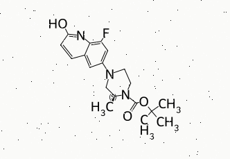 C[C@H]1CN(c2cc(F)c3nc(O)ccc3c2)CCN1C(=O)OC(C)(C)C